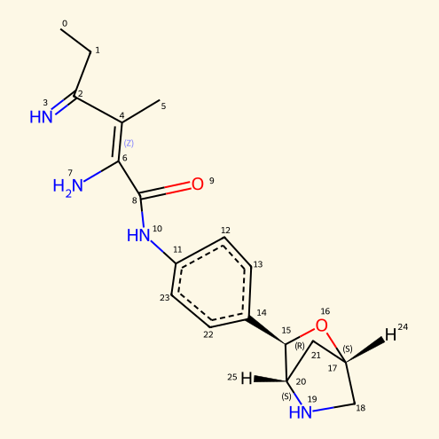 CCC(=N)/C(C)=C(\N)C(=O)Nc1ccc([C@H]2O[C@@H]3CN[C@H]2C3)cc1